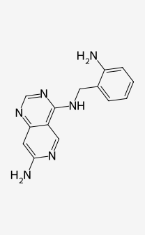 Nc1cc2ncnc(NCc3ccccc3N)c2cn1